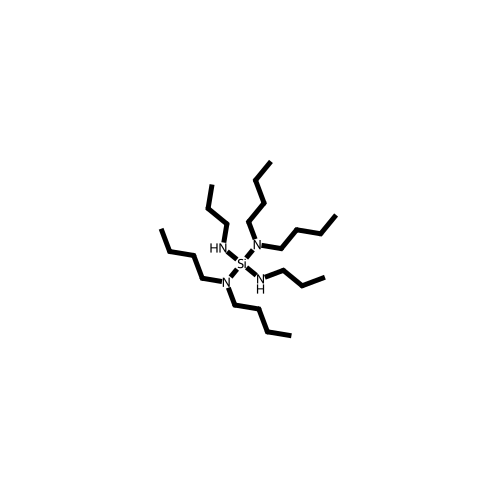 CCCCN(CCCC)[Si](NCCC)(NCCC)N(CCCC)CCCC